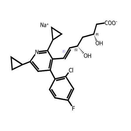 O=C([O-])C[C@H](O)C[C@H](O)/C=C/c1c(-c2ccc(F)cc2Cl)cc(C2CC2)nc1C1CC1.[Na+]